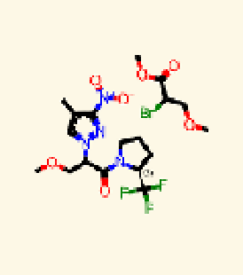 COCC(Br)C(=O)OC.COCC(C(=O)N1CCC[C@H]1C(F)(F)F)n1cc(C)c([N+](=O)[O-])n1